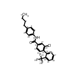 CCCCc1ccc(NC(=O)c2ccc(-c3ncccc3C(F)(F)F)c(Cl)c2)cc1